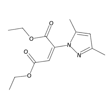 CCOC(=O)/C=C(\C(=O)OCC)n1nc(C)cc1C